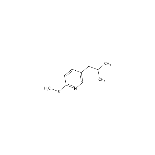 CSc1ccc(CC(C)C)cn1